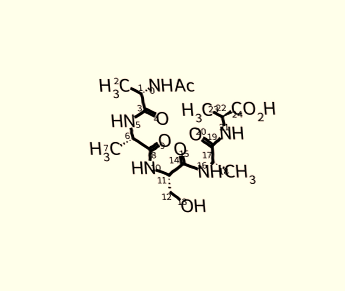 CC(=O)N[C@@H](C)C(=O)N[C@@H](C)C(=O)N[C@@H](CO)C(=O)N[C@@H](C)C(=O)N[C@@H](C)C(=O)O